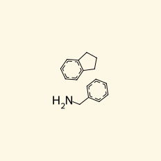 NCc1ccccc1.c1ccc2c(c1)CCC2